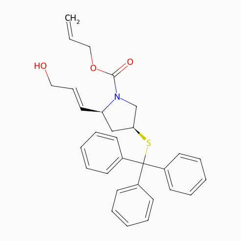 C=CCOC(=O)N1C[C@@H](SC(c2ccccc2)(c2ccccc2)c2ccccc2)C[C@H]1C=CCO